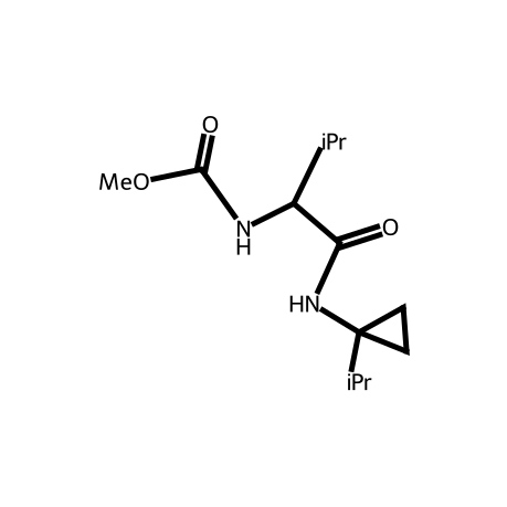 COC(=O)NC(C(=O)NC1(C(C)C)CC1)C(C)C